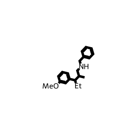 CCC(c1cccc(OC)c1)C(C)CNCc1ccccc1